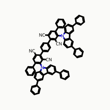 N#Cc1cc(-c2ccccc2)c(-n2c3ccc(-c4ccccc4)cc3c3cc(-c4ccccc4)ccc32)c(C#N)c1-c1ccc(-c2c(C#N)cc(-c3ccccc3)c(-n3c4ccc(-c5ccccc5)cc4c4cc(-c5ccccc5)ccc43)c2C#N)cc1